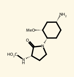 CO[C@@H]1C[C@H](N)CC[C@@H]1N1CC[C@H](NC(=O)O)C1=O